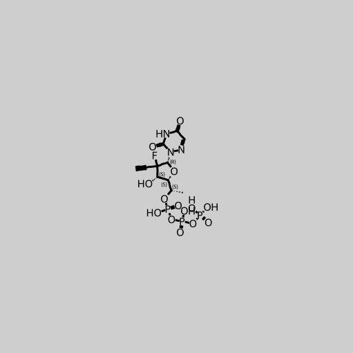 C#CC1(F)[C@@H](O)[C@@H]([C@H](C)OP(=O)(O)OP(=O)(O)OP(=O)(O)O)O[C@H]1n1ncc(=O)[nH]c1=O